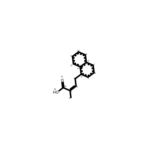 CC(=CCc1cccc2ccccc12)C(=O)O